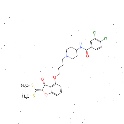 CSC(SC)=C1Oc2cccc(OCCCCN3CCC(NC(=O)c4ccc(Cl)c(Cl)c4)CC3)c2C1=O